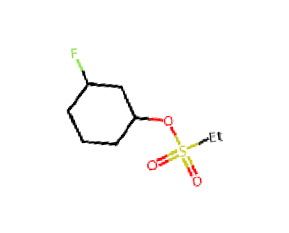 CCS(=O)(=O)OC1CCCC(F)C1